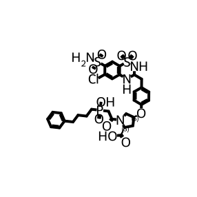 NS(=O)(=O)c1cc2c(cc1Cl)NC(Cc1ccc(O[C@H]3C[C@@H](C(=O)O)N(C(=O)CP(=O)(O)CCCCc4ccccc4)C3)cc1)NS2(=O)=O